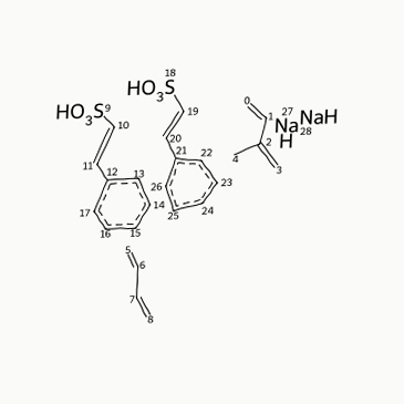 C=CC(=C)C.C=CC=C.O=S(=O)(O)C=Cc1ccccc1.O=S(=O)(O)C=Cc1ccccc1.[NaH].[NaH]